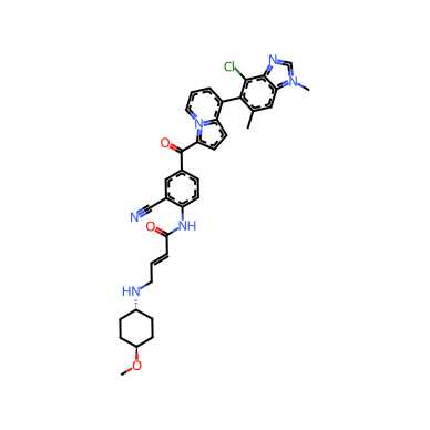 CO[C@H]1CC[C@H](NC/C=C/C(=O)Nc2ccc(C(=O)c3ccc4c(-c5c(C)cc6c(ncn6C)c5Cl)cccn34)cc2C#N)CC1